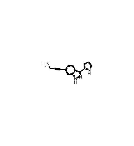 NCC#Cc1ccc2c(-c3ccc[nH]3)n[nH]c2c1